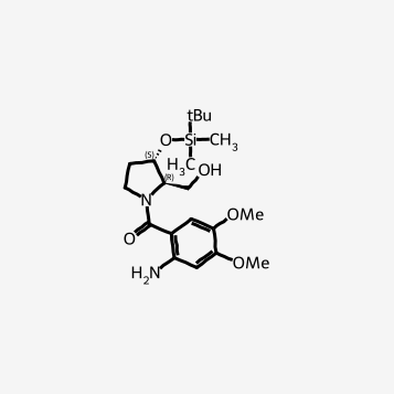 COc1cc(N)c(C(=O)N2CC[C@H](O[Si](C)(C)C(C)(C)C)[C@H]2CO)cc1OC